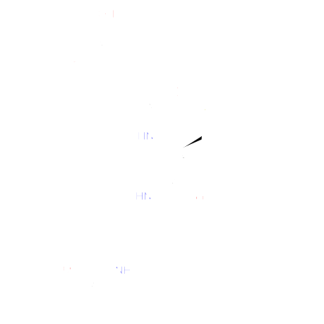 CC(=O)NCCNC(=O)[C@H](CSCC(C)(C)C)NC(=O)CCC(=O)O